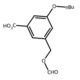 CCCCOc1cc(COC=O)cc(C(=O)O)c1